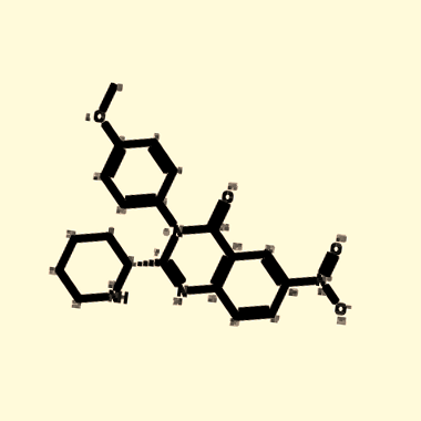 COc1ccc(-n2c([C@H]3CCCCN3)nc3ccc([N+](=O)[O-])cc3c2=O)cc1